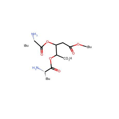 CC[C@H](C)[C@H](N)C(=O)OC(CC(=O)OC(C)(C)C)C(OC(=O)[C@@H](N)[C@@H](C)CC)C(=O)O